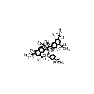 CCC(C)(C)c1cc(C(C)(C)CC)c2cc(OP(Oc3ccc(S(C)(=O)=O)cc3)Oc3cc4c(C(C)(C)CC)cc(C(C)(C)CC)cc4cc3C(C)(C)CC)c(C(C)(C)CC)cc2c1